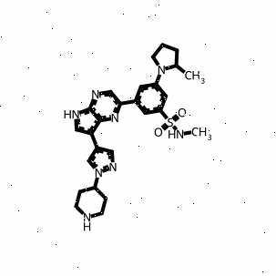 CNS(=O)(=O)c1cc(-c2cnc3[nH]cc(-c4cnn(C5CCNCC5)c4)c3n2)cc(N2CCCC2C)c1